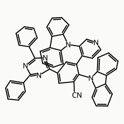 N#Cc1cc(-c2nc(-c3ccccc3)nc(-c3ccccc3)n2)cc(-c2ccncc2-n2c3ccccc3c3ccccc32)c1-n1c2ccccc2c2ccccc21